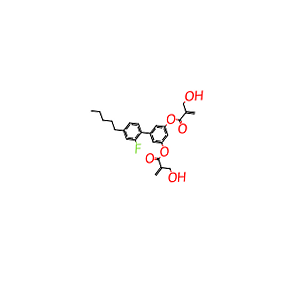 C=C(CO)C(=O)Oc1cc(OC(=O)C(=C)CO)cc(-c2ccc(CCCCC)cc2F)c1